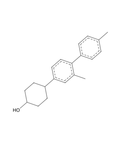 Cc1ccc(-c2ccc(C3CCC(O)CC3)cc2C)cc1